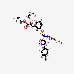 CCON=C(COc1cccc(CC(OCC)C(=O)OCC)c1)c1cc(-c2ccc(F)cc2)no1